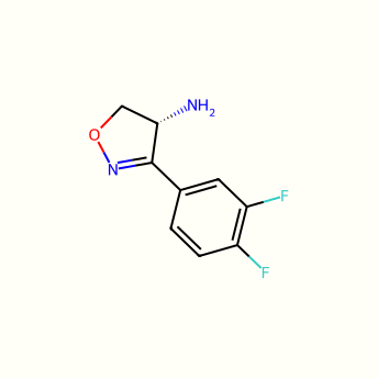 N[C@H]1CON=C1c1ccc(F)c(F)c1